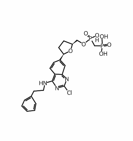 O=P(O)(O)CP(=O)(O)OC[C@@H]1CC[C@H](c2ccc3c(NCCc4ccccc4)nc(Cl)nc3c2)O1